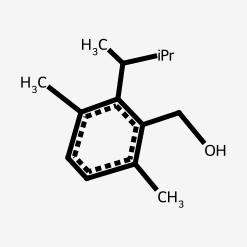 Cc1ccc(C)c(C(C)C(C)C)c1CO